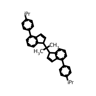 CC(C)c1ccc(-c2cccc3c2C=CC3C(C)(C)C2C=Cc3c(-c4ccc(C(C)C)cc4)cccc32)cc1